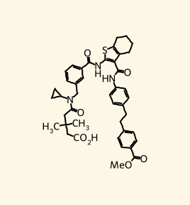 COC(=O)c1ccc(CCc2ccc(NC(=O)c3c(NC(=O)c4cccc(CN(C(=O)CC(C)(C)CC(=O)O)C5CC5)c4)sc4c3CCCC4)cc2)cc1